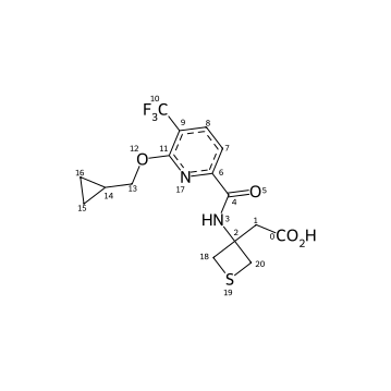 O=C(O)CC1(NC(=O)c2ccc(C(F)(F)F)c(OCC3CC3)n2)CSC1